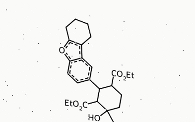 CCOC(=O)C1CCC(C)(O)C(C(=O)OCC)C1c1ccc2oc3c(c2c1)CCCC3